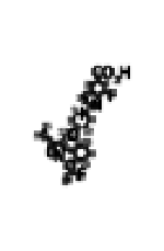 O=C(O)c1cc(F)c2nc(N3CCC(OCc4c(-c5ccccc5OC(F)F)noc4C4CC4)CC3)sc2c1